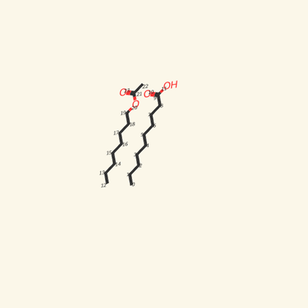 CCCCCCCCCC(=O)O.CCCCCCCCOC(C)=O